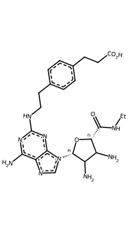 CCNC(=O)[C@H]1O[C@@H](n2cnc3c(N)nc(NCCc4ccc(CCC(=O)O)cc4)nc32)C(N)C1N